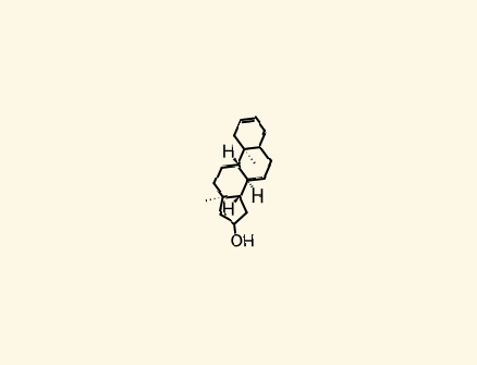 C[C@]12CC[C@H]3[C@@H](CCC4CC=CC[C@@]43C)[C@@H]1CC(O)C2